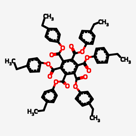 CCc1ccc(OC(=O)c2c(C(=O)Oc3ccc(CC)cc3)c(C(=O)Oc3ccc(CC)cc3)c(C(=O)Oc3ccc(CC)cc3)c(C(=O)Oc3ccc(CC)cc3)c2C(=O)Oc2ccc(CC)cc2)cc1